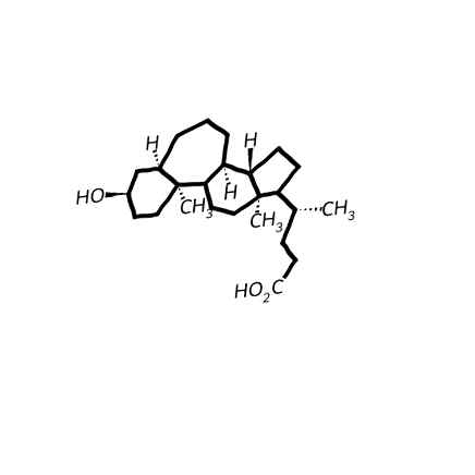 C[C@H](CCC(=O)O)C1CC[C@H]2[C@@H]3CCC[C@@H]4C[C@H](O)CC[C@]4(C)C3CC[C@]12C